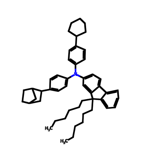 CCCCCCC1(CCCCCC)c2ccccc2-c2ccc(N(c3ccc(C4CCCCC4)cc3)c3ccc(C4CC5CCC4C5)cc3)cc21